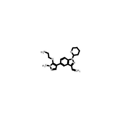 C=Cc1nn(C2CCCCO2)c2ccc(-c3cnn(C)c3OCCN)cc12